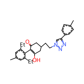 CCc1cc(C)cc(CC)c1C1=C(O)CC(CCn2cc(-c3ccc(C)cc3)nn2)CC1=O